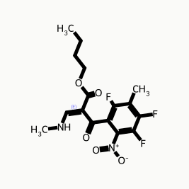 CCCCOC(=O)/C(=C/NC)C(=O)c1c(F)c(C)c(F)c(F)c1[N+](=O)[O-]